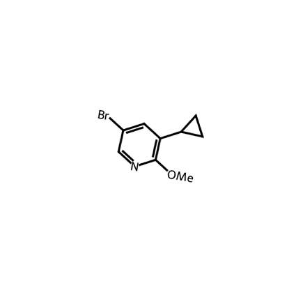 COc1ncc(Br)cc1C1CC1